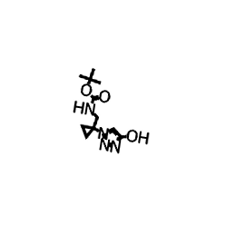 CC(C)(C)OC(=O)NCC1(n2cc(O)nn2)CC1